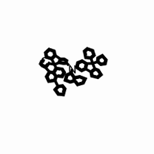 c1ccc(-c2ccc3c4c(cccc24)C2(c4ccccc4-c4ccc(N(c5ccc6c(c5)-c5ccccc5C6(c5ccccc5)c5ccccc5)c5cccc6ccccc56)cc42)c2ccccc2-3)cc1